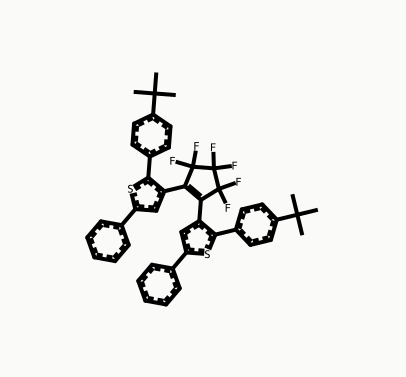 CC(C)(C)c1ccc(-c2sc(-c3ccccc3)cc2C2=C(c3cc(-c4ccccc4)sc3-c3ccc(C(C)(C)C)cc3)C(F)(F)C(F)(F)C2(F)F)cc1